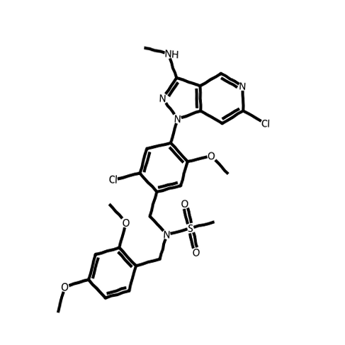 CNc1nn(-c2cc(Cl)c(CN(Cc3ccc(OC)cc3OC)S(C)(=O)=O)cc2OC)c2cc(Cl)ncc12